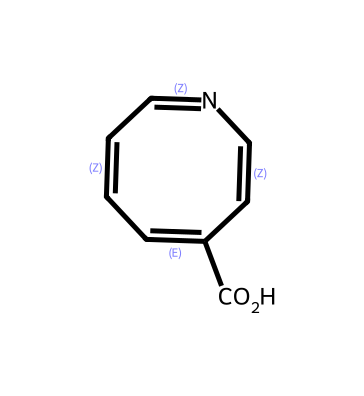 O=C(O)C1=C/C=C\C=N/C=C\1